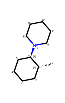 C[C@@H]1CCCC[C@H]1N1CCCCC1